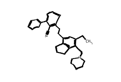 CCc1cc(CCc2cccc(-c3ccccc3)c2C#N)c2c(c1CN1CCCCC1)CCC2